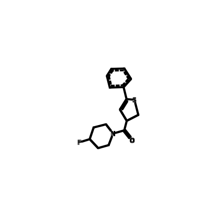 O=C(C1C=C(c2ccccc2)SC1)N1CCC(F)CC1